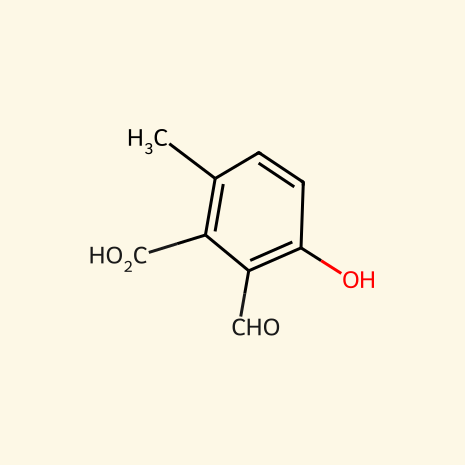 Cc1ccc(O)c(C=O)c1C(=O)O